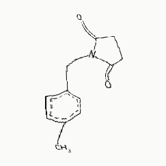 Cc1ccc(CN2C(=O)CCC2=O)cc1